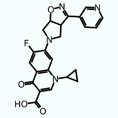 O=C(O)c1cn(C2CC2)c2cc(N3CC4ON=C(c5cccnc5)C4C3)c(F)cc2c1=O